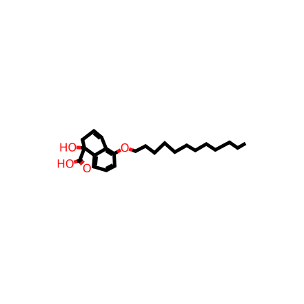 CCCCCCCCCCCCOc1cccc2c1C=CCC2(O)C(=O)O